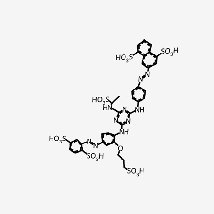 CC(Nc1nc(Nc2ccc(N=Nc3cc(S(=O)(=O)O)c4cccc(S(=O)(=O)O)c4c3)cc2)nc(Nc2ccc(N=Nc3cc(S(=O)(=O)O)ccc3S(=O)(=O)O)cc2OCCCS(=O)(=O)O)n1)S(=O)(=O)O